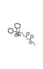 CCOC(=O)CC(=O)CCC(C)(C)[Si](O)(c1ccccc1)c1ccccc1